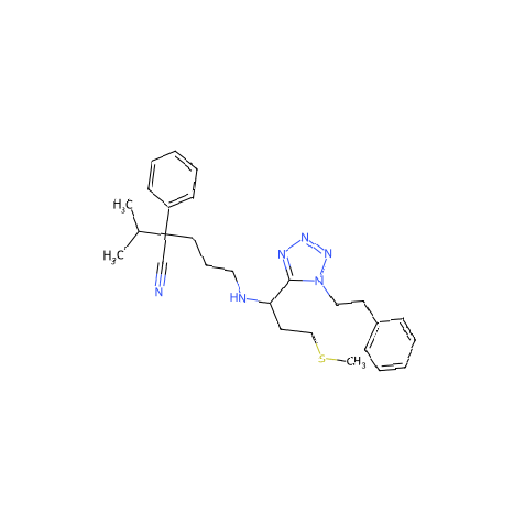 CSCCC(NCCCC(C#N)(c1ccccc1)C(C)C)c1nnnn1CCc1ccccc1